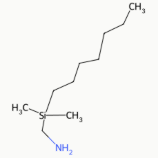 CCCCCCC[Si](C)(C)CN